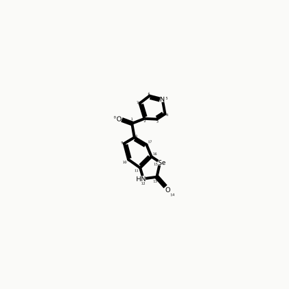 O=C(c1ccncc1)c1ccc2[nH]c(=O)[se]c2c1